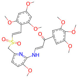 COc1cc(OC)c(C=CS(=O)(=O)Cc2ccc(OC)c(NC=CC(=O)c3cc(OC)c(OC)c(OC)c3)n2)c(OC)c1